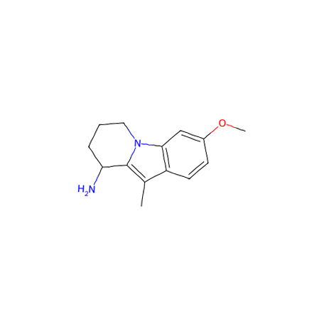 COc1ccc2c(C)c3n(c2c1)CCCC3N